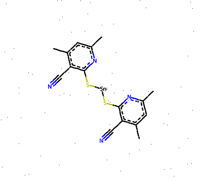 Cc1cc(C)c(C#N)c([S][Sn][S]c2nc(C)cc(C)c2C#N)n1